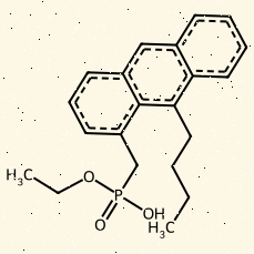 CCCCc1c2ccccc2cc2cccc(CP(=O)(O)OCC)c12